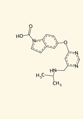 CC(C)NCc1cc(Oc2ccc3c(ccn3C(=O)O)c2)ncn1